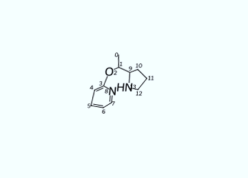 CC(Oc1ccccn1)C1CCCN1